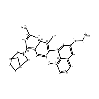 COCOc1cc(-c2ncc3c(N4CC5CCC(C5)C4)nc(SC)nc3c2F)c2c(Cl)cccc2c1